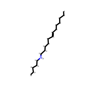 CCCCCCC=CCCCCC[N]CCCCC